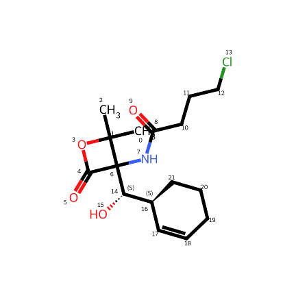 CC1(C)OC(=O)C1(NC(=O)CCCCl)[C@@H](O)[C@@H]1C=CCCC1